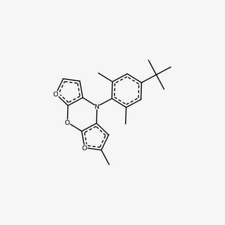 Cc1cc2c(o1)Oc1occc1N2c1c(C)cc(C(C)(C)C)cc1C